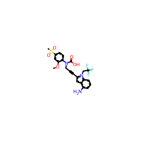 COc1cc(S(C)(=O)=O)ccc1N(CC#Cc1cc2c(N)cccc2n1CC(F)(F)F)C(=O)O